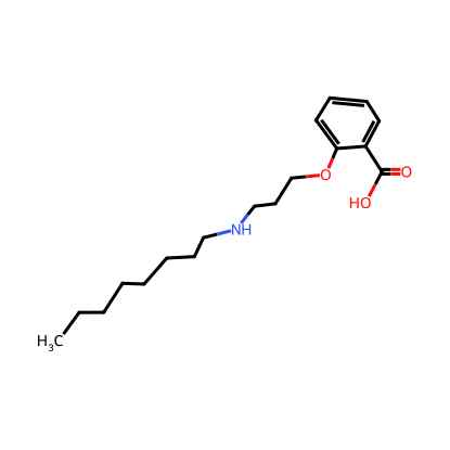 CCCCCCCCNCCCOc1ccccc1C(=O)O